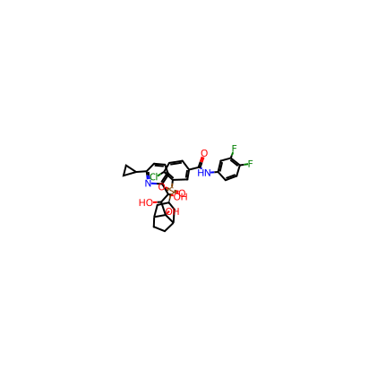 O=C(Nc1ccc(F)c(F)c1)c1ccc(Cl)c(S(=O)(=O)[C@H]2CC3CCC(C2)[C@]3(O)C(O)C(O)c2cccc(C3CC3)n2)c1